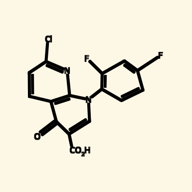 O=C(O)c1cn(-c2ccc(F)cc2F)c2nc(Cl)ccc2c1=O